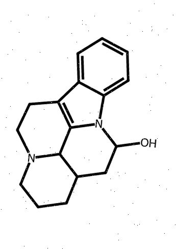 OC1CC2CCCN3CCc4c(n1c1ccccc41)C23